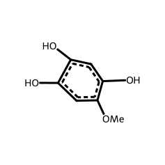 COc1cc(O)c(O)cc1O